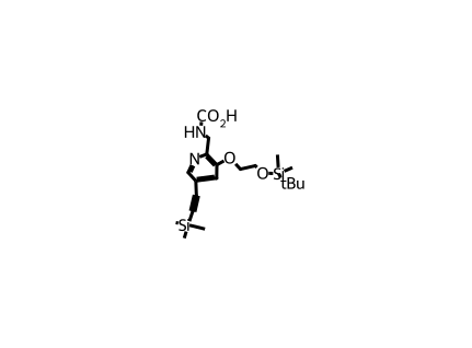 CC(C)(C)[Si](C)(C)OCCOc1cc(C#C[Si](C)(C)C)cnc1CNC(=O)O